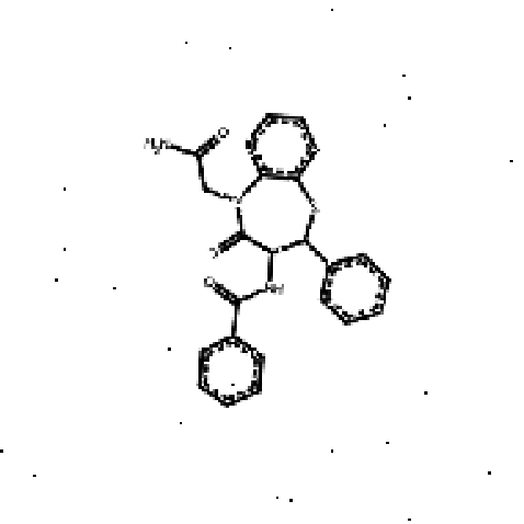 NC(=O)CN1C(=O)C(NC(=O)c2ccccc2)C(c2ccccc2)Sc2ccccc21